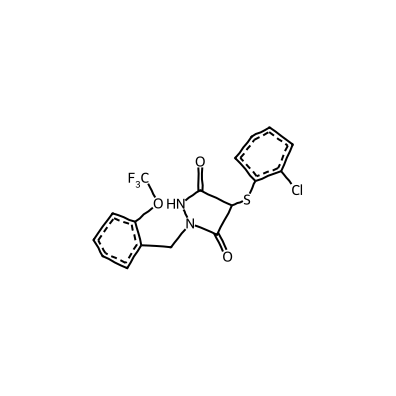 O=C1NN(Cc2ccccc2OC(F)(F)F)C(=O)C1Sc1ccccc1Cl